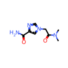 CN(C)C(=O)Cn1cnc(C(N)=O)c1